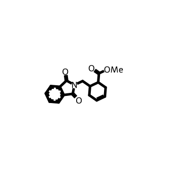 COC(=O)C1CC=CCC1CN1C(=O)c2ccccc2C1=O